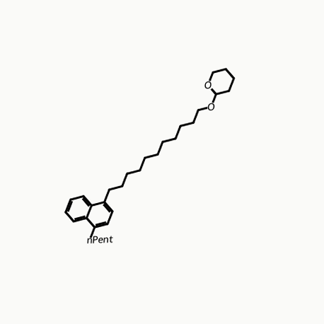 CCCCCc1ccc(CCCCCCCCCCCOC2CCCCO2)c2ccccc12